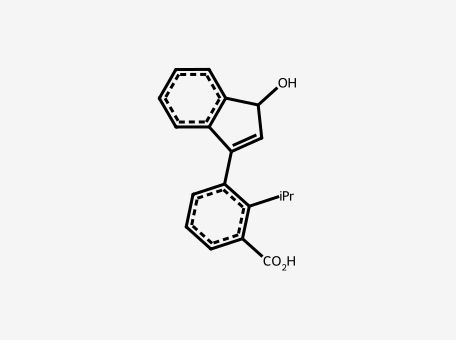 CC(C)c1c(C(=O)O)cccc1C1=CC(O)c2ccccc21